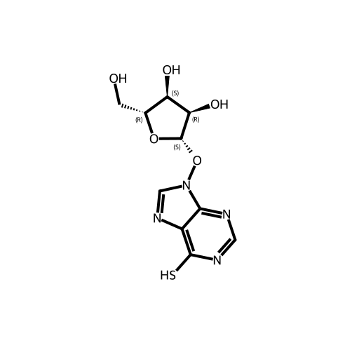 OC[C@H]1O[C@@H](On2cnc3c(S)ncnc32)[C@H](O)[C@@H]1O